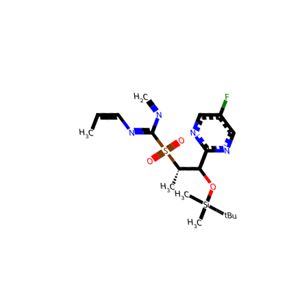 C=N/C(=N\C=C/C)S(=O)(=O)[C@@H](C)C(O[Si](C)(C)C(C)(C)C)c1ncc(F)cn1